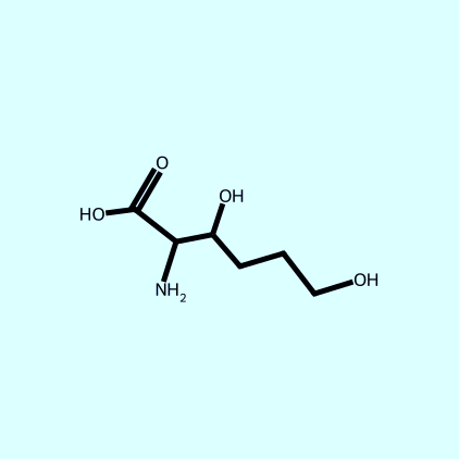 NC(C(=O)O)C(O)CCCO